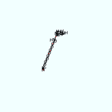 [N-]=[N+]=NCCOCCOCCOCCOCCOCCOCCOCCOCCC(=O)NCCCCN1NC(c2cnc3[nH]ccc3c2)c2c(N)ncnc21